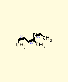 C\C=C/C=C(C)\N=C/C